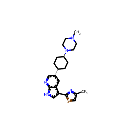 CN1CCN([C@H]2CC[C@@H](c3cnc4[nH]cc(-c5nc(C(F)(F)F)cs5)c4c3)CC2)CC1